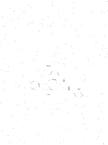 COc1cc(C(=O)N2C[C@H](N)C[C@@H](F)C2)cc2nc(-c3cc4cccnc4n3CC3CC3)n(Cc3cnn(-c4cccc(O)n4)c3)c12